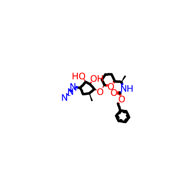 C[C@@H](NC(=O)OCc1ccccc1)C1CCC[C@@H](O[C@H]2[C@H](O)[C@@H](O)C(N=[N+]=[N-])C[C@@H]2C)O1